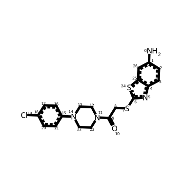 Nc1ccc2nc(SCC(=O)N3CCN(c4ccc(Cl)cc4)CC3)sc2c1